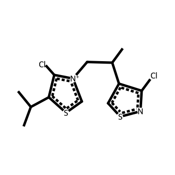 CC(C)c1sc[n+](CC(C)c2csnc2Cl)c1Cl